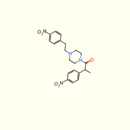 CC(C(=O)N1CCN(CCc2ccc([N+](=O)[O-])cc2)CC1)c1ccc([N+](=O)[O-])cc1